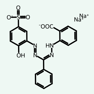 O=C([O-])c1ccccc1NN=C(N=Nc1cc(S(=O)(=O)[O-])ccc1O)c1ccccc1.[Na+].[Na+]